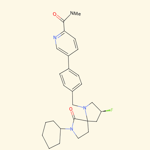 CNC(=O)c1ccc(-c2ccc(CN3C[C@@H](F)CC34CCN(C3CCCCC3)C4=O)cc2)cn1